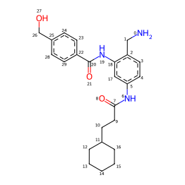 NCc1ccc(NC(=O)CCC2CCCCC2)cc1NC(=O)c1ccc(CO)cc1